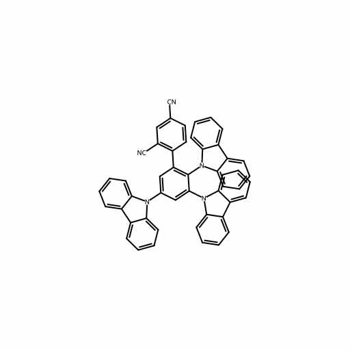 N#Cc1ccc(-c2cc(-n3c4ccccc4c4ccccc43)cc(-n3c4ccccc4c4ccccc43)c2-n2c3ccccc3c3ccccc32)c(C#N)c1